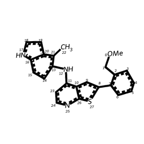 COCc1ccccc1-c1cc2c(Nc3ccc4[nH]ccc4c3C)ccnc2s1